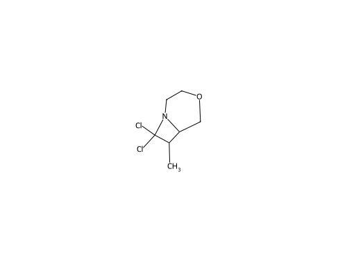 CC1C2COCCN2C1(Cl)Cl